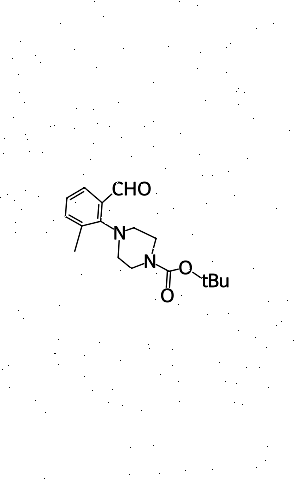 Cc1cccc(C=O)c1N1CCN(C(=O)OC(C)(C)C)CC1